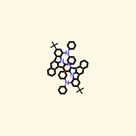 CC(C)(C)c1cc(N(c2ccccc2)c2ccccc2)c2c(c1)c1cc3ccccc3c3c4nc5c(cc4n2c13)c1c2ccccc2cc2c3cc(C(C)(C)C)cc(N(c4ccccc4)c4ccccc4)c3n5c21